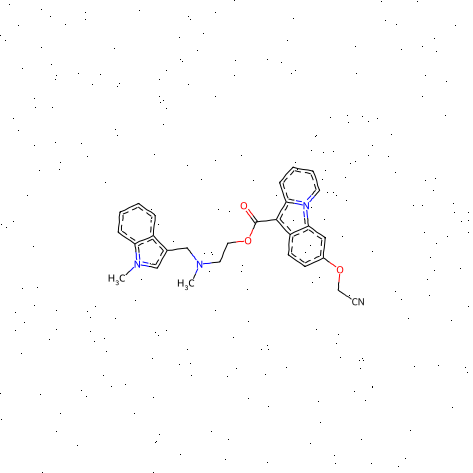 CN(CCOC(=O)c1c2ccc(OCC#N)cc2n2ccccc12)Cc1cn(C)c2ccccc12